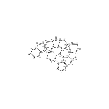 c1ccc(-c2ccc(-c3cccc4ccccc34)cc2N(c2cccc3oc4ccccc4c23)c2cccc3sc4ccccc4c23)cc1